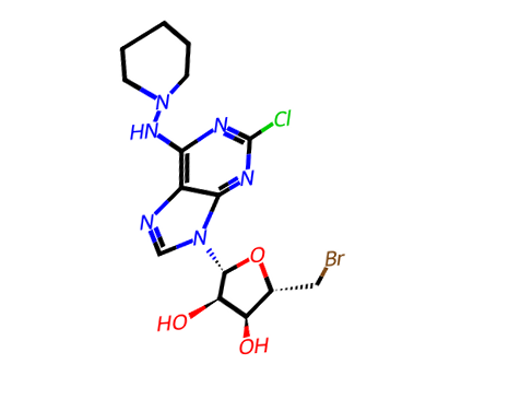 O[C@@H]1[C@H](O)[C@@H](CBr)O[C@H]1n1cnc2c(NN3CCCCC3)nc(Cl)nc21